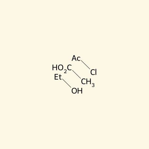 CC(=O)Cl.CC(=O)O.CCO